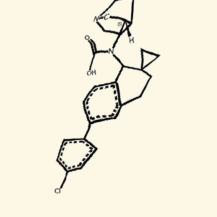 O=C(O)N(C1c2ccc(-c3ccc(Cl)cc3)cc2CCC12CC2)[C@@H]1CN2CCC1CC2